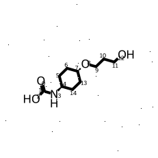 O=C(O)N[C@H]1CC[C@H](OCCCO)CC1